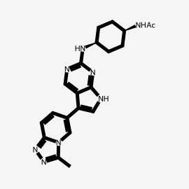 CC(=O)N[C@H]1CC[C@@H](Nc2ncc3c(-c4ccc5nnc(C)n5c4)c[nH]c3n2)CC1